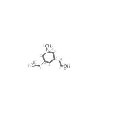 CN1C[C@H](CCO)C[C@H](CO)C1